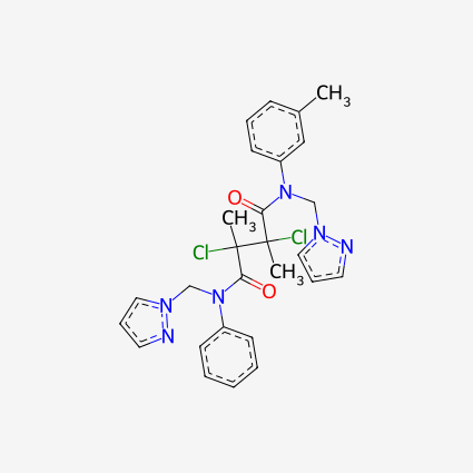 Cc1cccc(N(Cn2cccn2)C(=O)C(C)(Cl)C(C)(Cl)C(=O)N(Cn2cccn2)c2ccccc2)c1